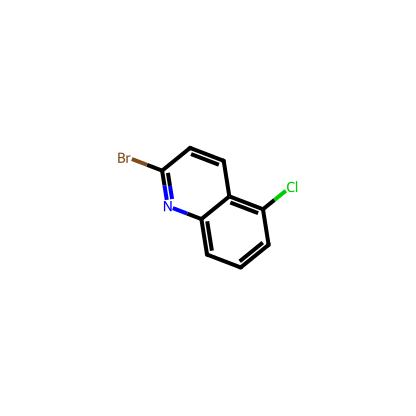 Clc1cccc2nc(Br)ccc12